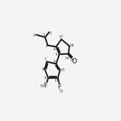 CC(C)CC1=C(c2ccc(F)c(F)c2)C(=O)CC1